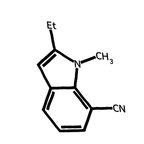 CCc1cc2cccc(C#N)c2n1C